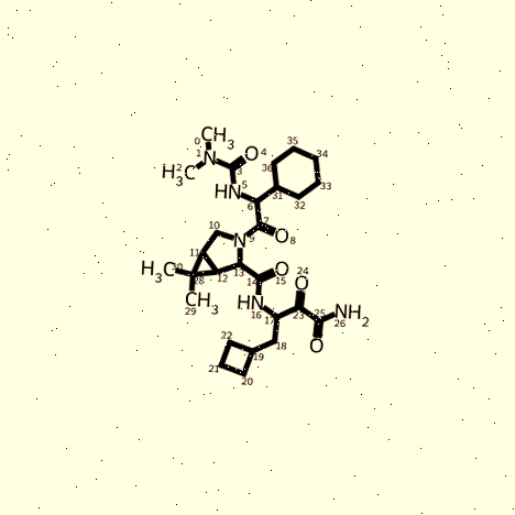 CN(C)C(=O)NC(C(=O)N1CC2C(C1C(=O)NC(CC1CCC1)C(=O)C(N)=O)C2(C)C)C1CCCCC1